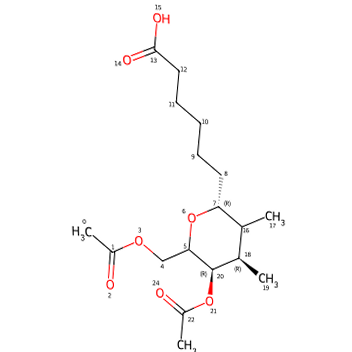 CC(=O)OCC1O[C@H](CCCCCC(=O)O)C(C)[C@@H](C)[C@H]1OC(C)=O